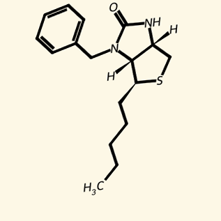 CCCCC[C@@H]1SC[C@H]2NC(=O)N(Cc3ccccc3)[C@@H]12